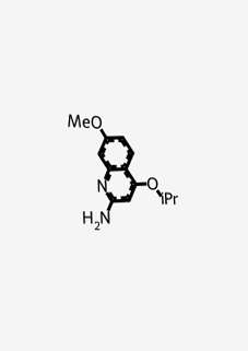 COc1ccc2c(OC(C)C)cc(N)nc2c1